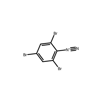 N#[N+]c1c(Br)cc(Br)cc1Br